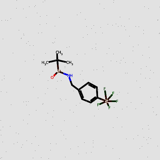 CC(C)(C)[S+]([O-])NCc1ccc(S(F)(F)(F)(F)F)cc1